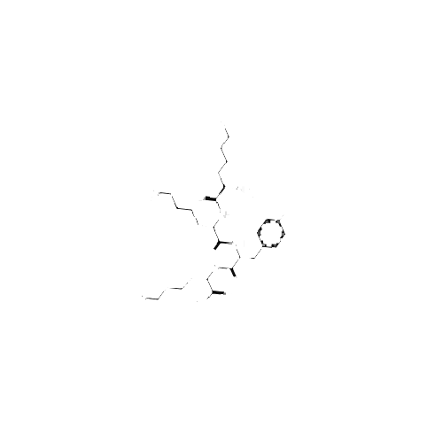 NCCCC[C@H](NC(=O)[C@H](Cc1ccc(O)cc1)NC(=O)[C@H](CCCCN)NC(=O)[C@@H](N)CCCCN)C(=O)O